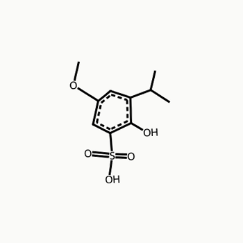 COc1cc(C(C)C)c(O)c(S(=O)(=O)O)c1